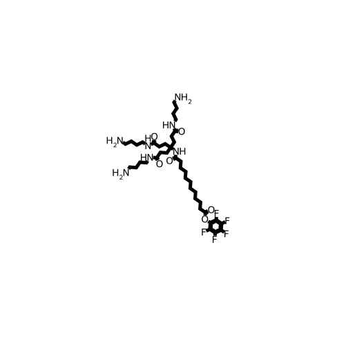 NCCCCNC(=O)CCC(CCC(=O)NCCCCN)(CCC(=O)NCCCCN)NC(=O)CCCCCCCCCCC(=O)Oc1c(F)c(F)c(F)c(F)c1F